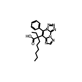 CCCCCCC(CC)(C(=O)O)c1c(-c2ccccc2)n2nnnc2n2ncnc12